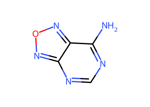 Nc1ncnc2nonc12